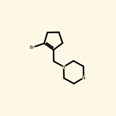 BrC1=C(CN2CC[N]CC2)CCC1